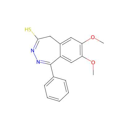 COc1cc2c(cc1OC)C(c1ccccc1)=NN=C(S)C2